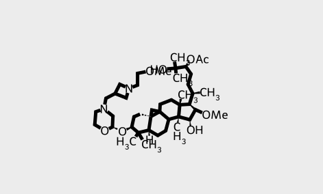 COCCN1CC(CN2CCO[C@@H](O[C@H]3CC[C@]45CC46CC[C@]4(C)[C@@H]([C@H](C)CC[C@H](OC(C)=O)C(C)(C)O)C(OC)[C@H](O)[C@@]4(C)C6CC[C@H]5C3(C)C)C2)C1